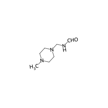 CN1CCN(CNC=O)CC1